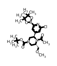 COC[C@@H]1CN(C(=O)OC(C)(C)C)C[C@@H](c2cc(Cl)nc(B3OC(C)(C)C(C)(C)O3)c2)N1C(C)=O